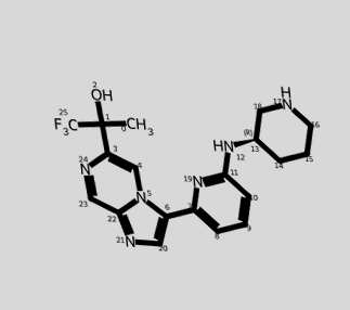 CC(O)(c1cn2c(-c3cccc(N[C@@H]4CCCNC4)n3)cnc2cn1)C(F)(F)F